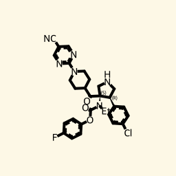 CCN(C(=O)Oc1ccc(F)cc1)[C@]1(C(=O)C2CCN(c3ncc(C#N)cn3)CC2)CNC[C@H]1c1ccc(Cl)cc1